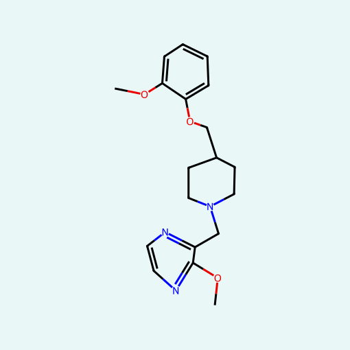 COc1ccccc1OCC1CCN(Cc2nccnc2OC)CC1